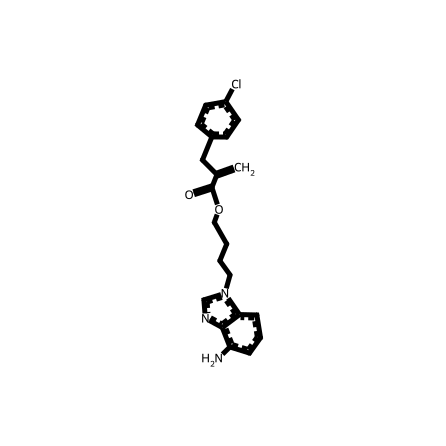 C=C(Cc1ccc(Cl)cc1)C(=O)OCCCCn1cnc2c(N)cccc21